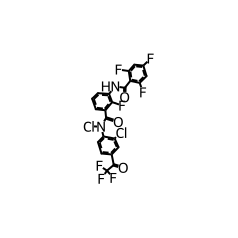 O=C(Nc1cccc(C(=O)N(Cl)c2ccc(C(=O)C(F)(F)F)cc2Cl)c1F)c1c(F)cc(F)cc1F